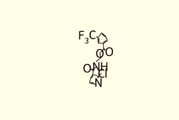 O=C(OCCNC(=O)c1cccnc1Cl)c1cccc(C(F)(F)F)c1